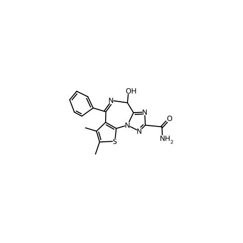 Cc1sc2c(c1C)C(c1ccccc1)=NC(O)c1nc(C(N)=O)nn1-2